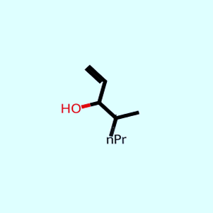 C=CC(O)[C](C)CCC